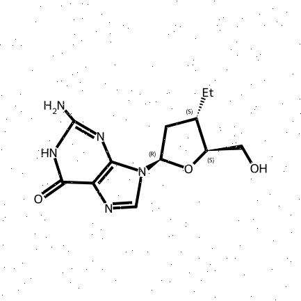 CC[C@H]1C[C@H](n2cnc3c(=O)[nH]c(N)nc32)O[C@@H]1CO